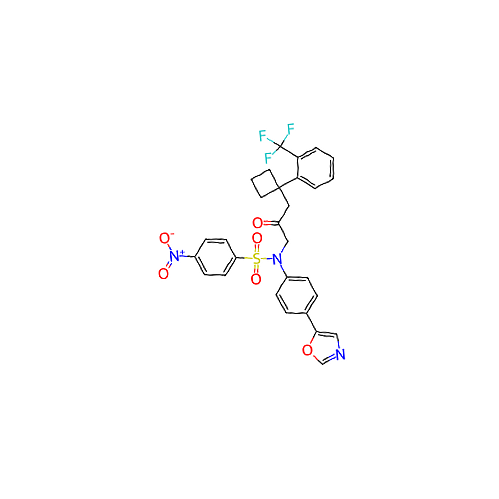 O=C(CN(c1ccc(-c2cnco2)cc1)S(=O)(=O)c1ccc([N+](=O)[O-])cc1)CC1(c2ccccc2C(F)(F)F)CCC1